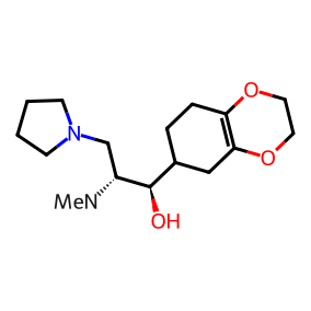 CN[C@H](CN1CCCC1)[C@H](O)C1CCC2=C(C1)OCCO2